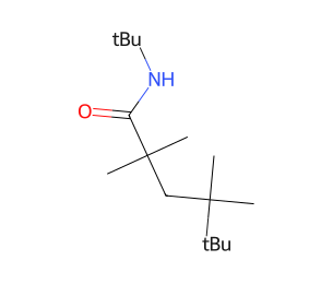 CC(C)(C)NC(=O)C(C)(C)CC(C)(C)C(C)(C)C